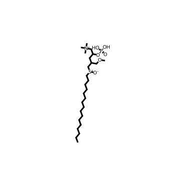 CCCCCCCCCCCCCCCC[S+]([O-])CC(COC)CC(C[N+](C)(C)C)OP(=O)(O)O